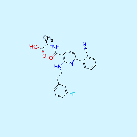 C[C@@H](NC(=O)c1ccc(-c2ccccc2C#N)nc1NCCc1cccc(F)c1)C(=O)O